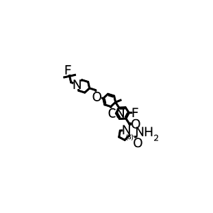 CC(C)(F)CN1CCC(COC2=CC(C#N)C(C)(c3ccc(C(=O)N4CCC[C@H]4C(N)=O)c(F)c3)C=C2)CC1